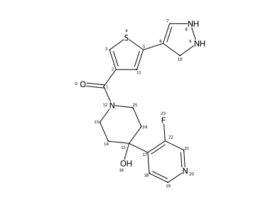 O=C(c1csc(C2=CNNC2)c1)N1CCC(O)(c2ccncc2F)CC1